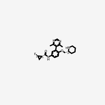 Cc1ncnc(C)c1-c1cc(NC(=O)[C@@H]2C[C@H]2F)ccc1OC[C@H]1CCCCN1